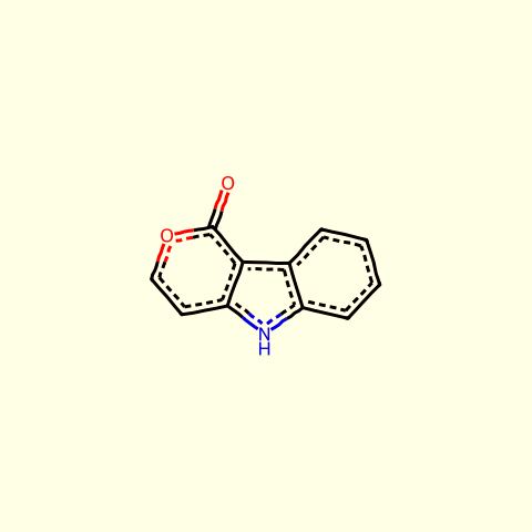 O=c1occc2[nH]c3ccccc3c12